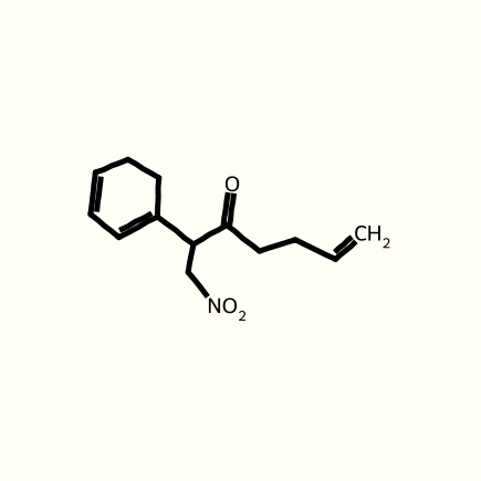 C=CCCC(=O)C(C[N+](=O)[O-])C1=CC=CCC1